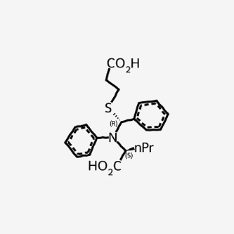 CCC[C@@H](C(=O)O)N(c1ccccc1)[C@H](SCCC(=O)O)c1ccccc1